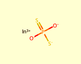 [In+3].[O-]P([O-])(=S)[S-]